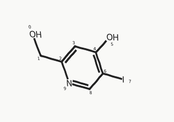 OCc1cc(O)c(I)cn1